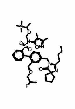 CCCCC1=NC2(CCCC2)C(=O)N1Cc1ccc(-c2ccccc2S(=O)(=O)N(COC(C)[Si](C)(C)C)c2onc(C)c2C)c(COCC(F)F)c1